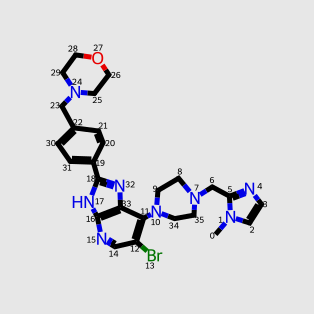 Cn1ccnc1CN1CCN(c2c(Br)cnc3[nH]c(-c4ccc(CN5CCOCC5)cc4)nc23)CC1